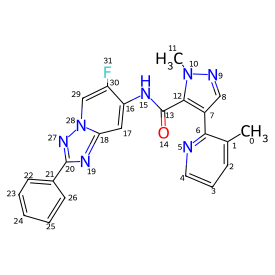 Cc1cccnc1-c1cnn(C)c1C(=O)Nc1cc2nc(-c3ccccc3)nn2cc1F